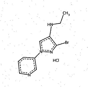 CCNc1cn(-c2cccnc2)nc1Br.Cl